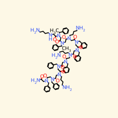 C[C@@H](c1ccccc1)N(CC(=O)N(CCCCN)CC(=O)N(CC(=O)N(CC(=O)N(CCCCN)CC(=O)N(CC(=O)N(CC(=O)N(CCCCN)CC(=O)N(CC(=O)N(CC(N)=O)Cc1ccccc1)Cc1ccccc1)Cc1ccccc1)Cc1ccccc1)Cc1ccccc1)Cc1ccccc1)C(=O)CN(C(=O)CNCCCCN)[C@@H](C)c1ccccc1